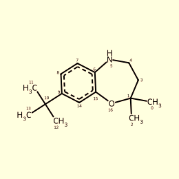 CC1(C)CCNc2ccc(C(C)(C)C)cc2O1